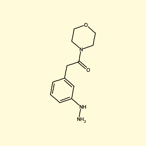 NNc1cccc(CC(=O)N2CCOCC2)c1